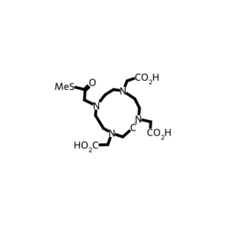 CSC(=O)CN1CCN(CC(=O)O)CCN(CC(=O)O)CCN(CC(=O)O)CC1